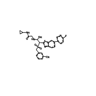 N#Cc1cccc(CS(=O)(=O)C(c2nc3ccc(-c4ccc(F)nc4)cc3s2)C(O)NCC(=O)NC2CC2)c1